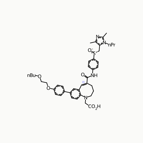 CCCCOCCOc1ccc(-c2ccc3c(c2)/C=C(/C(=O)Nc2ccc([S@@+]([O-])Cc4c(C)nc(C)n4CCC)cc2)CCCN3CC(=O)O)cc1